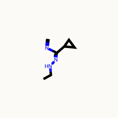 C=N/C(=N\NCC)C1CC1